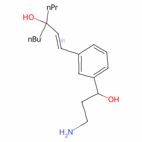 CCCCC(O)(/C=C/c1cccc(C(O)CCN)c1)CCC